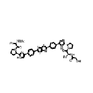 CC(=O)N[C@H](C(=O)N1CCCC1c1nc(-c2ccc(-c3nc4sc(-c5ccc(-c6cnc([C@@H]7CCCN7C(=O)[C@@H](NC(=O)CO)C(C)C)[nH]6)cc5)nc4s3)cc2)c[nH]1)C(C)C